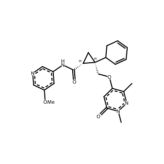 COc1cncc(NC(=O)[C@@H]2C[C@@]2(COc2cc(=O)n(C)nc2C)C2C=CC=CC2)c1